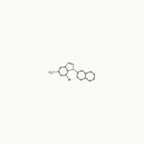 Cc1cc(Br)c2c(c1)C=CC2c1ccc2ccccc2c1